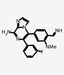 CNc1cc(-c2c(-c3cccc(F)c3)nc(N)c3nccn23)ccc1C=N